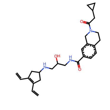 C=CC1=C(C=C)CC(NCC(O)CNC(=O)c2ccc3c(c2)CN(C(=O)CC2CC2)CC3)C1